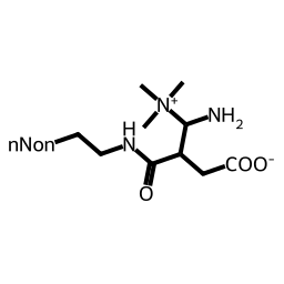 CCCCCCCCCCCNC(=O)C(CC(=O)[O-])C(N)[N+](C)(C)C